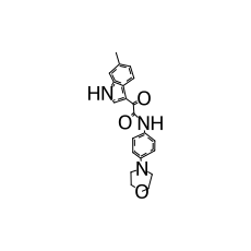 Cc1ccc2c(C(=O)C(=O)Nc3ccc(N4CCOCC4)cc3)c[nH]c2c1